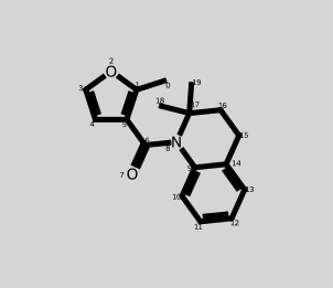 Cc1occc1C(=O)N1c2ccccc2CCC1(C)C